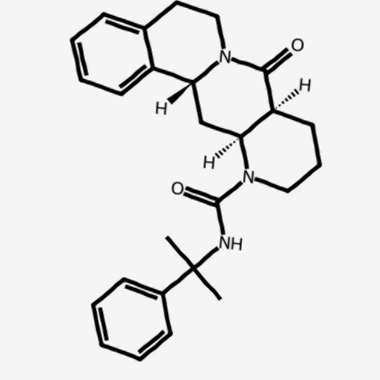 CC(C)(NC(=O)N1CCC[C@@H]2C(=O)N3CCc4ccccc4[C@H]3C[C@@H]21)c1ccccc1